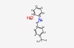 CC(C)c1ccc(C=Nc2ccccc2O)cc1